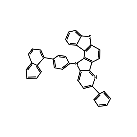 c1ccc(-c2ccc3c(n2)c2ccc4sc5ccccc5c4c2n3-c2ccc(-c3cccc4ccccc34)cc2)cc1